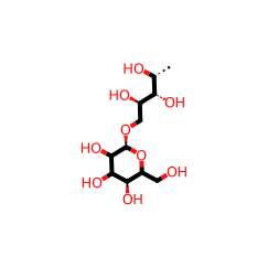 C[C@@H](O)[C@H](O)[C@H](O)CO[C@H]1OC(CO)[C@@H](O)C(O)C1O